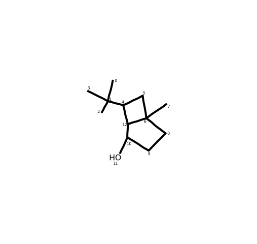 CC(C)(C)C1CC2(C)CCC(O)C12